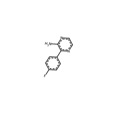 Nc1nccnc1-c1ccc(F)cc1